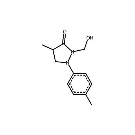 Cc1ccc(N2CC(C)C(=O)N2CO)cc1